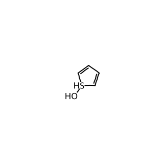 O[SH]1C=CC=C1